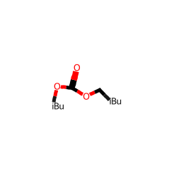 C[CH]C(C)OC(=O)OCC(C)CC